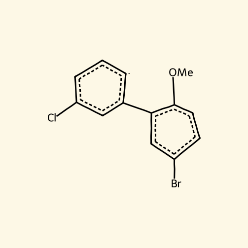 COc1ccc(Br)cc1-c1[c]ccc(Cl)c1